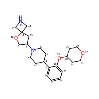 c1ccc(C2CCN(C3COC4(CNC4)C3)CC2)c(OC2CCOCC2)c1